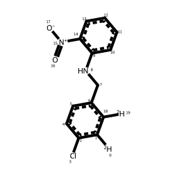 [2H]c1c(Cl)ccc(CNc2ccccc2[N+](=O)[O-])c1[2H]